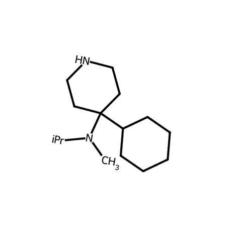 CC(C)N(C)C1(C2CCCCC2)CCNCC1